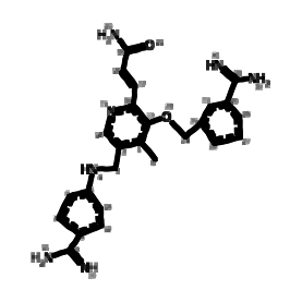 Cc1c(CNc2ccc(C(=N)N)cc2)cnc(/C=C/C(N)=O)c1OCc1cccc(C(=N)N)c1